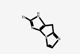 CCc1nc2c([nH]1)Cc1nccn1-2